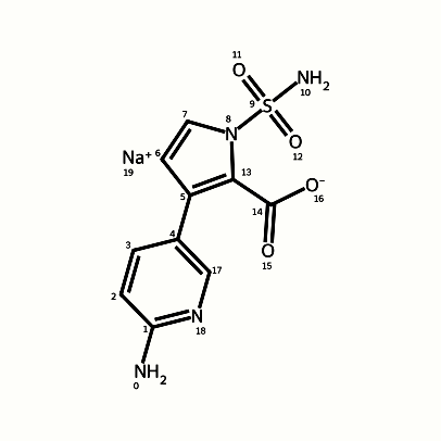 Nc1ccc(-c2ccn(S(N)(=O)=O)c2C(=O)[O-])cn1.[Na+]